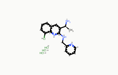 C[C@H](N)c1cc2cccc(Cl)c2nc1NCc1ccccn1.Cl.Cl.Cl